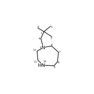 CC(C)(C)CN1CCCCNCC1